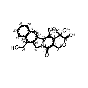 CCC1(O)C(=O)OCc2c1c([N+](=O)[O-])c1n(c2=O)Cc2c-1nc1ccccc1c2CO